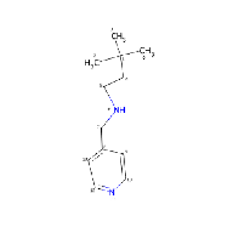 CC(C)(C)CCNCc1ccncc1